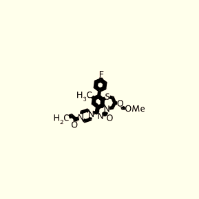 C=CC(=O)N1CCN(c2nc(=O)n3c4c(c(-c5ccc(F)cc5)c(C)cc24)SCC(OCOC)C3)CC1